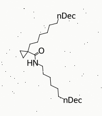 CCCCCCCCCCCCCCCCNC(=O)C1(CCCCCCCCCCCCCCCC)CC1